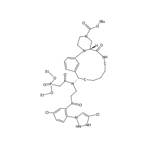 CCOP(=O)(CC(=O)N(CCC(=O)c1cc(Cl)ccc1N1C=C(Cl)NN1)[C@H]1CCCCCNC(=O)[C@H]2CN(C(=O)OC(C)(C)C)CCN2c2cccc1c2)OCC